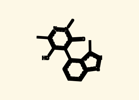 Cc1nn(C)c(=O)c(-c2cccc3snc(C)c23)c1O